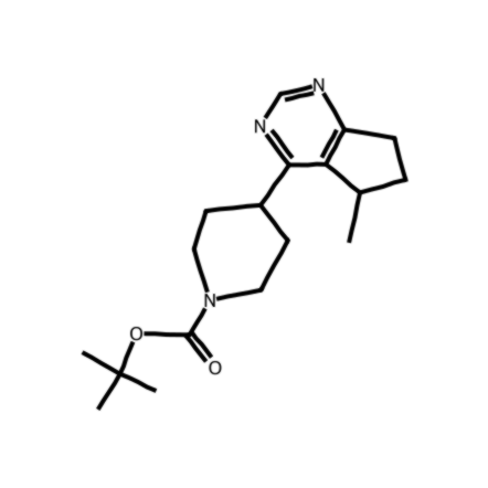 CC1CCc2ncnc(C3CCN(C(=O)OC(C)(C)C)CC3)c21